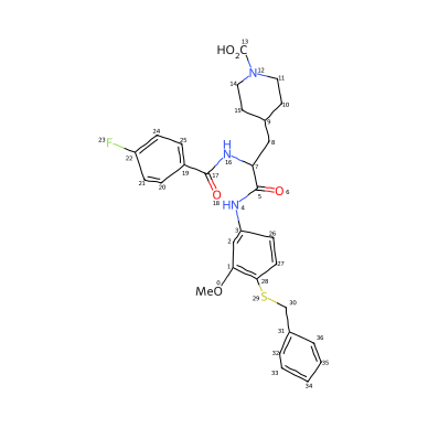 COc1cc(NC(=O)C(CC2CCN(C(=O)O)CC2)NC(=O)c2ccc(F)cc2)ccc1SCc1ccccc1